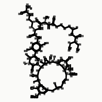 COc1cc2cc(c1Cl)N(C)C(=O)C[C@H](OC(=O)[C@H](C)N(C)C(=O)c1cc(F)c(NC(=O)[C@H](CCCNC(N)=O)NC(=O)[C@@H](NC(=O)CCCCC(C)OC(=O)C(CBr)CBr)C(C)C)cc1F)[C@]1(C)O[C@H]1[C@H](C)[C@@H]1C[C@@](O)(NC(=O)O1)[C@H](OC)/C=C/C=C(\C)C2